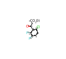 CCOC(=O)CC(=O)c1c(Cl)ccc(F)c1F